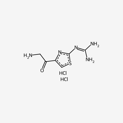 Cl.Cl.NCC(=O)c1csc(N=C(N)N)n1